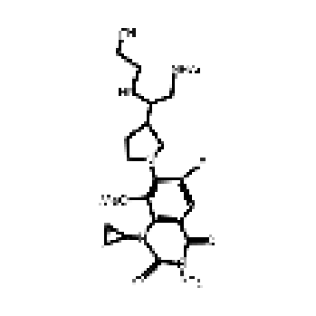 COc1c(N2CCC(C(CNC(C)=O)NCCC#N)C2)c(F)cc2c(=O)n(N)c(=O)n(C3CC3)c12